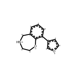 c1cc2c(c(-c3ccoc3)c1)OCCNC2